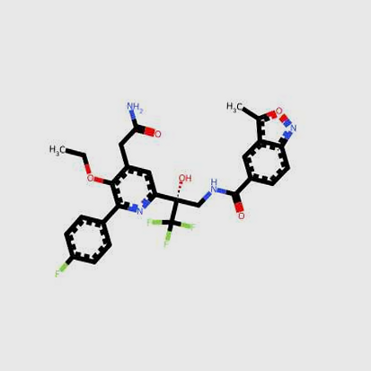 CCOc1c(CC(N)=O)cc([C@@](O)(CNC(=O)c2ccc3noc(C)c3c2)C(F)(F)F)nc1-c1ccc(F)cc1